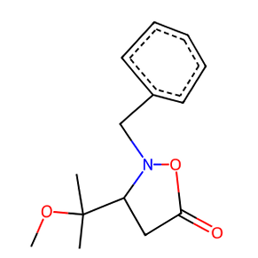 COC(C)(C)C1CC(=O)ON1Cc1ccccc1